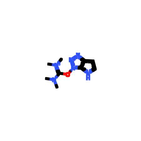 CN(C)C(On1nnc2cc[nH]c21)=[N+](C)C